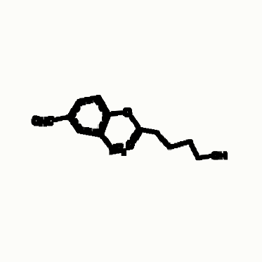 O=Cc1ccc(OC(=O)CCCCO)c([N+](=O)[O-])c1